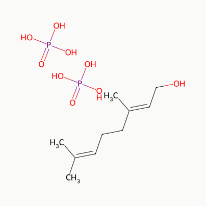 CC(C)=CCC/C(C)=C/CO.O=P(O)(O)O.O=P(O)(O)O